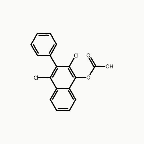 O=C(O)Oc1c(Cl)c(-c2ccccc2)c(Cl)c2ccccc12